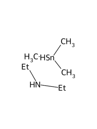 CCNCC.[CH3][SnH]([CH3])[CH3]